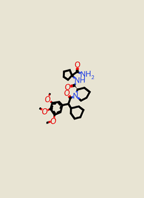 COc1cc(C(C(=O)N2CCCC[C@H]2C(=O)NC2(C(N)=O)CCCC2)C2CCCCC2)cc(OC)c1OC